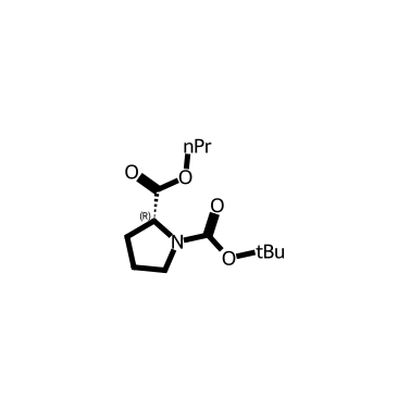 [CH2]CCOC(=O)[C@H]1CCCN1C(=O)OC(C)(C)C